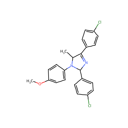 COc1ccc(N2C(C)C(c3ccc(Cl)cc3)=NC2c2ccc(Cl)cc2)cc1